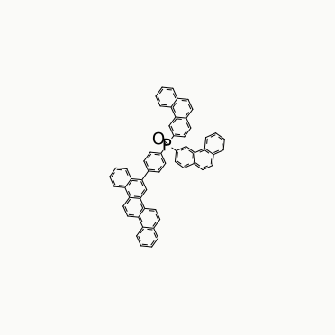 O=P(c1ccc(-c2cc3c(ccc4c5ccccc5ccc43)c3ccccc23)cc1)(c1ccc2ccc3ccccc3c2c1)c1ccc2ccc3ccccc3c2c1